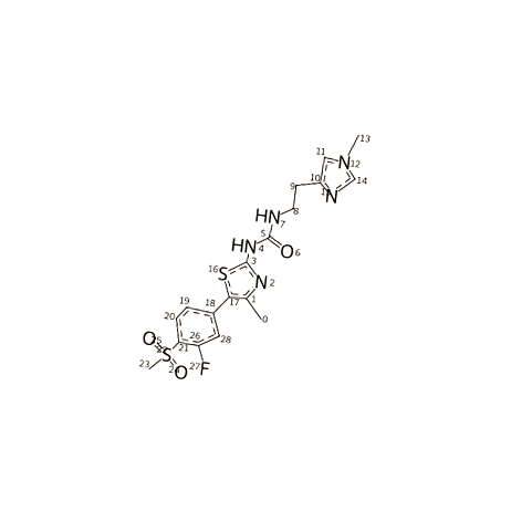 Cc1nc(NC(=O)NCCc2cn(C)cn2)sc1-c1ccc(S(C)(=O)=O)c(F)c1